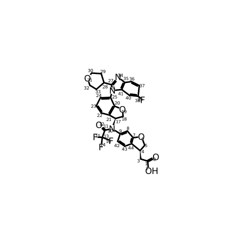 O=C(O)C[C@@H]1COc2cc(N(C(=O)C(F)(F)F)[C@@H]3COc4c3cccc4-n3c(C4CCOCC4)nc4ccc(F)cc43)ccc21